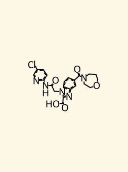 O=C(Cn1c(C(=O)O)nc2cc(C(=O)N3CCCOCC3)ccc21)Nc1ccc(Cl)cn1